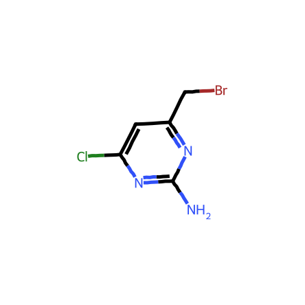 Nc1nc(Cl)cc(CBr)n1